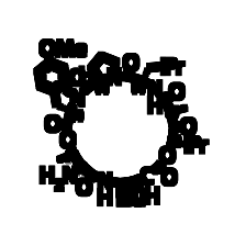 CC[C@H](C)C1NC(=O)[C@@H](N)[C@@H](C)OC(=O)[C@H](Cc2ccc(OC)cc2)N(C)C(=O)[C@@H]2CCCN2C(=O)[C@H](CC(C)C)NC(=O)[C@@H](C)C(=O)[C@H](C(C)C)OC(=O)C[C@@H]1O